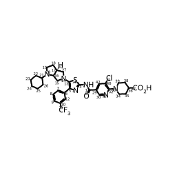 O=C(Nc1nc(-c2cccc(C(F)(F)F)c2)c(N2CC3[C@@H](CCN3C3CCCCC3)C2)s1)c1cnc(N2CCC(C(=O)O)CC2)c(Cl)c1